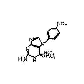 Cl.Cl.Nc1nc2ncn(Cc3ccc([N+](=O)[O-])cc3)c2c(=O)[nH]1